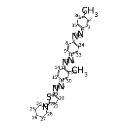 Cc1ccc(N=Nc2ccc(N=Nc3ccc(N=Nc4ccc(N5CCCCC5)s4)cc3C)cc2)cc1